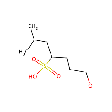 CC(C)CC(CCC[O])S(=O)(=O)O